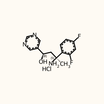 C[C@](N)(C[C@@H](O)c1cncnc1)c1ccc(F)cc1F.Cl